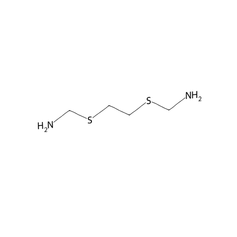 NCSCCSCN